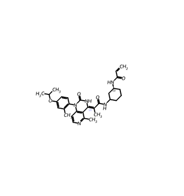 C=CC(=O)N[C@H]1CCCC(NC(=O)/C(C)=C2\NC(=O)N(c3ccc(OC(C)C)cc3C)c3ccnc(C)c32)C1